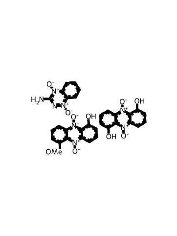 COc1cccc2c1[n+]([O-])c1cccc(O)c1[n+]2[O-].Nc1n[n+]([O-])c2ccccc2[n+]1[O-].[O-][n+]1c2cccc(O)c2[n+]([O-])c2cccc(O)c21